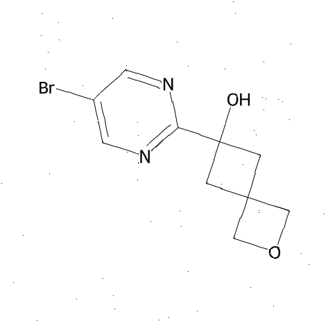 OC1(c2ncc(Br)cn2)CC2(COC2)C1